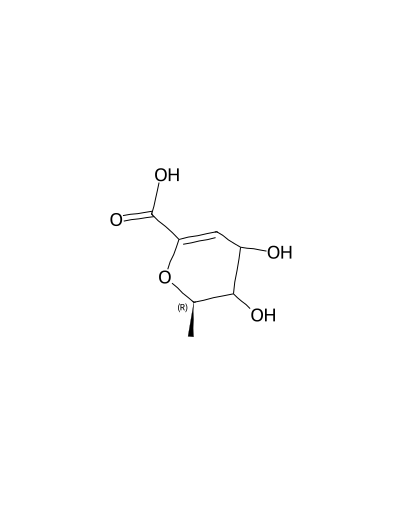 C[C@H]1OC(C(=O)O)=CC(O)C1O